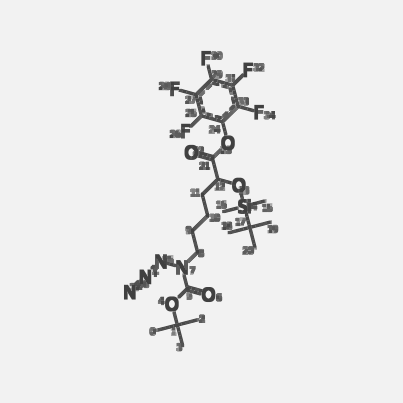 CC(C)(C)OC(=O)N(CCCCC(O[Si](C)(C)C(C)(C)C)C(=O)Oc1c(F)c(F)c(F)c(F)c1F)N=[N+]=[N-]